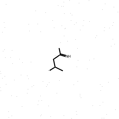 [CH2]C(C)CC(C)=N